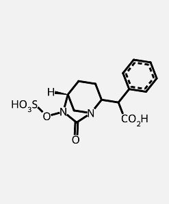 O=C(O)C(c1ccccc1)C1CC[C@@H]2CN1C(=O)N2OS(=O)(=O)O